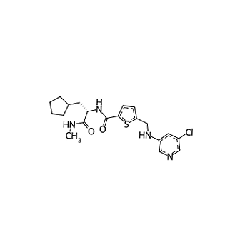 CNC(=O)[C@H](CC1CCCC1)NC(=O)c1ccc(CNc2cncc(Cl)c2)s1